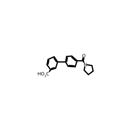 O=C(O)c1cccc(-c2ccc(C(=O)N3CCCC3)cc2)c1